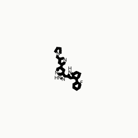 Fc1ccccc1-c1cccc2[nH]c(-c3n[nH]c4ncc(-c5cncc(CN6CCCC6)c5)cc34)cc12